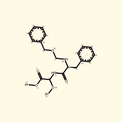 CC(C)OC(=O)C(NC(=O)[C@H](Cc1ccccc1)NCOCc1ccccc1)OC(C)C